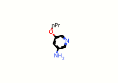 CCCOc1cncc(N)c1